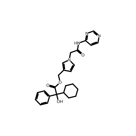 O=C(Cn1ccc(COC(=O)C(O)(c2ccccc2)C2CCCCC2)c1)Nc1ccncn1